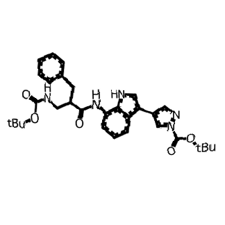 CC(C)(C)OC(=O)NCC(Cc1ccccc1)C(=O)Nc1cccc2c(-c3cnn(C(=O)OC(C)(C)C)c3)c[nH]c12